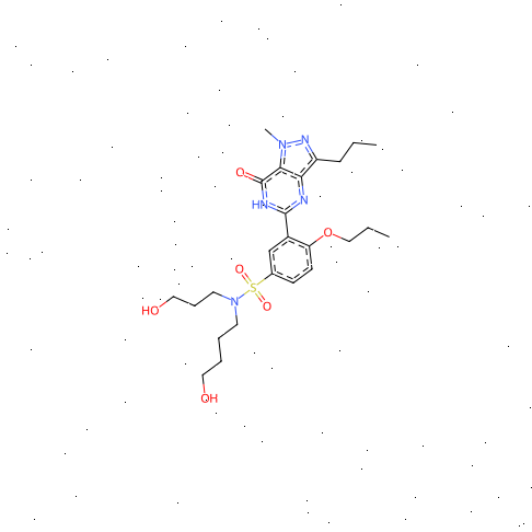 CCCOc1ccc(S(=O)(=O)N(CCCO)CCCCO)cc1-c1nc2c(CCC)nn(C)c2c(=O)[nH]1